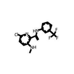 C=C(Nc1cccc(C(F)(F)F)c1)c1nc(Cl)ccc1NC